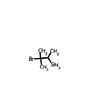 CC([SiH3])C(C)(C)Br